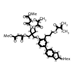 C=C(C)C(=O)OCCCc1cc(-c2ccc3c(c2)CC(CCCCCC)C3)ccc1OCC(COC(=O)CC(=O)OC)(COC(=O)CC(=O)OC)COC(=O)C(=C)C